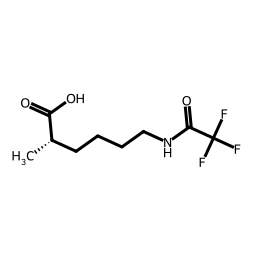 C[C@@H](CCCCNC(=O)C(F)(F)F)C(=O)O